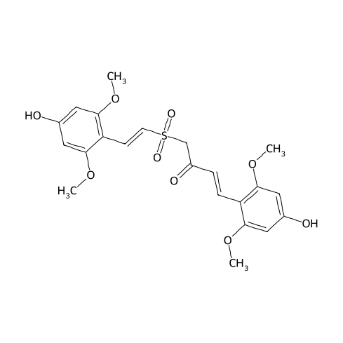 COc1cc(O)cc(OC)c1C=CC(=O)CS(=O)(=O)C=Cc1c(OC)cc(O)cc1OC